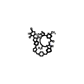 Cc1cc2cc(n1)-c1cnn(C)c1OCCC[C@@H](C)CN1/C(=N/C2=O)Nc2ccc(CN3CCN(C[C@H]4CCN(c5ccc6c(c5)CN(C5CCC(=O)NC5=O)C6=O)C4)CC3)cc21